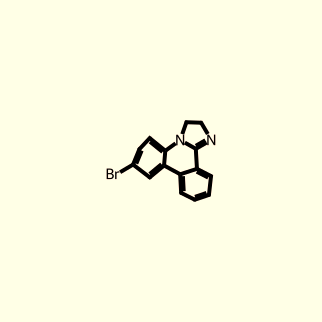 Brc1ccc2c(c1)-c1ccccc1C1=NCCN12